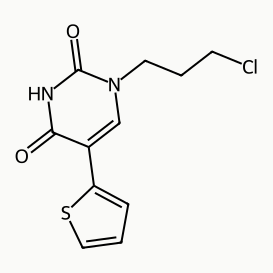 O=c1[nH]c(=O)n(CCCCl)cc1-c1cccs1